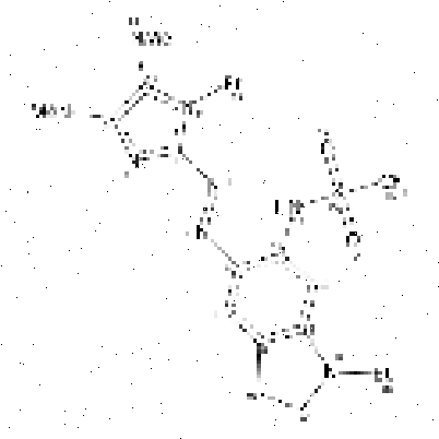 [CH2-][NH2+]c1nc(N=Nc2cc3c(cc2NS(=O)(=O)C(F)(F)F)N(CC)CC3)n(CC)c1[NH2+][CH2-]